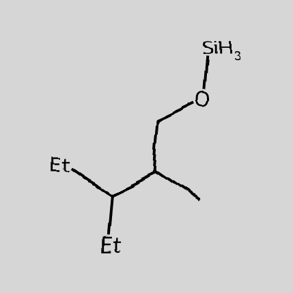 CCC(CC)C(C)CO[SiH3]